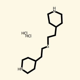 C1CC(CCSCCC2CCNCC2)CCN1.Cl.Cl